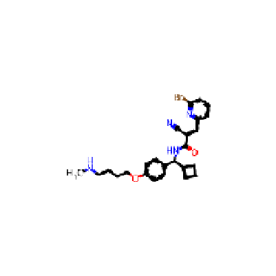 CNCCCCOc1ccc(C(NC(=O)/C(C#N)=C/c2cccc(Br)n2)C2CCC2)cc1